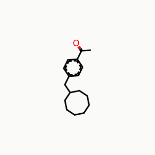 CC(=O)c1ccc(CC2CCCCCCC2)cc1